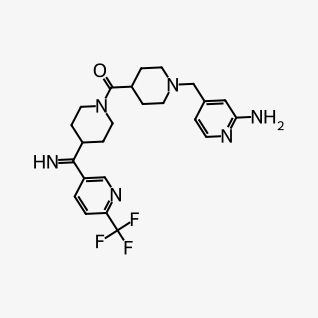 N=C(c1ccc(C(F)(F)F)nc1)C1CCN(C(=O)C2CCN(Cc3ccnc(N)c3)CC2)CC1